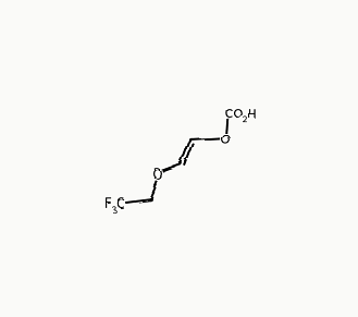 O=C(O)OC=COCC(F)(F)F